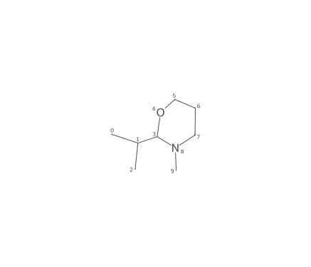 CC(C)C1OCCCN1C